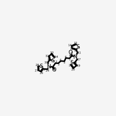 O=C(CCCCCCC(=O)N(Cc1cccs1)Cc1cccs1)N(Cc1cccs1)Cc1cccs1